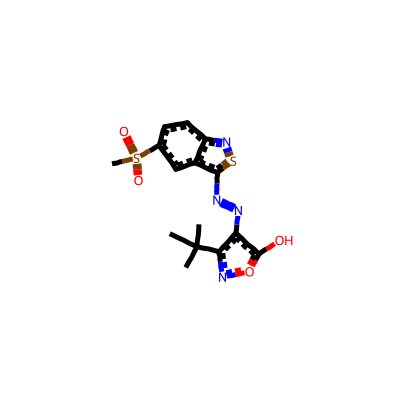 CC(C)(C)c1noc(O)c1N=Nc1snc2ccc(S(C)(=O)=O)cc12